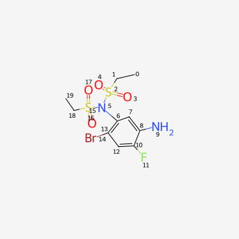 CCS(=O)(=O)N(c1cc(N)c(F)cc1Br)S(=O)(=O)CC